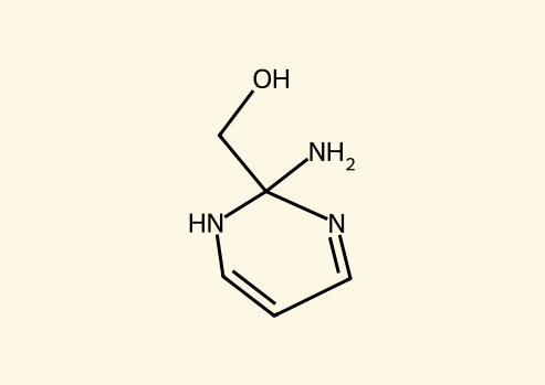 NC1(CO)N=CC=CN1